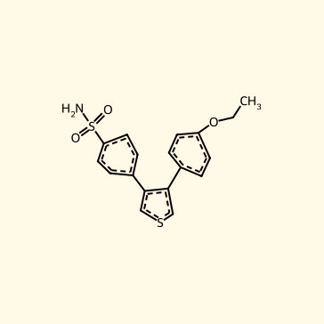 CCOc1ccc(-c2cscc2-c2ccc(S(N)(=O)=O)cc2)cc1